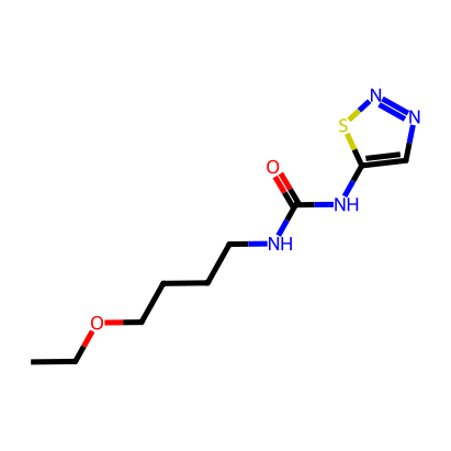 CCOCCCCNC(=O)Nc1cnns1